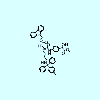 COC(=O)C(O)c1ccc(NC(=O)[C@H](CCCCNC(c2ccccc2)(c2ccccc2)c2ccc(C)cc2)NC(=O)OCC2c3ccccc3-c3ccccc32)cc1